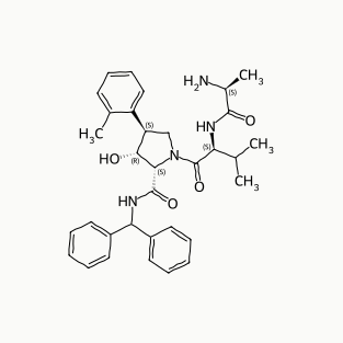 Cc1ccccc1[C@H]1CN(C(=O)[C@@H](NC(=O)[C@H](C)N)C(C)C)[C@H](C(=O)NC(c2ccccc2)c2ccccc2)[C@@H]1O